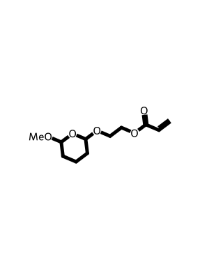 C=CC(=O)OCCOC1CCCC(OC)O1